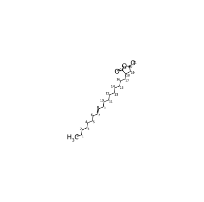 CCCCCCCC=CCCCCCCCCCC1CC(=O)OC1=O